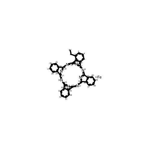 [CH2]Cc1cccc2c3nc4nc(nc5[nH]c(nc6nc(nc([nH]3)c12)-c1ccccc1-6)c1ccccc51)-c1ccccc1-4.[Fe]